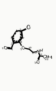 O=Cc1ccc(Cl)cc1OCCNC(=O)O